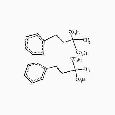 CCOC(=O)C(C)(CCc1ccccc1)C(=O)O.CCOC(=O)C(C)(CCc1ccccc1)C(=O)OCC